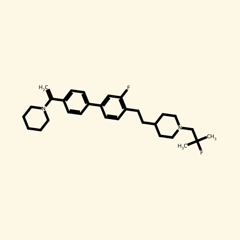 C=C(c1ccc(-c2ccc(CCC3CCN(CC(C)(C)F)CC3)c(F)c2)cc1)N1CCCCC1